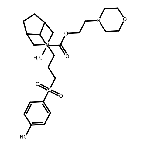 CN(C(=O)OCCN1CCOCC1)C1C2CCC1CN(CCCS(=O)(=O)c1ccc(C#N)cc1)C2